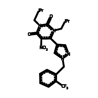 CC(C)Cn1c(-c2cnn(Cc3ccccc3C(F)(F)F)c2)c([N+](=O)[O-])c(=O)n(CC(C)C)c1=O